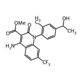 COC(=O)c1c(N)c2ccc(C(F)(F)F)cc2n(-c2ccc(C(C)O)cc2C)c1=O